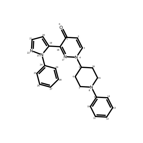 O=c1ccn(C2CCN(c3ccccc3)CC2)nc1-c1ccnn1-c1ccccc1